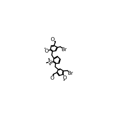 COc1cc(C=O)c(Cc2cccc(Cc3cc(CBr)c(C=O)cc3OC)c2[Si](C)(C)C)cc1CBr